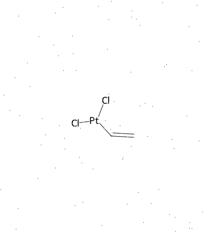 C=[CH][Pt]([Cl])[Cl]